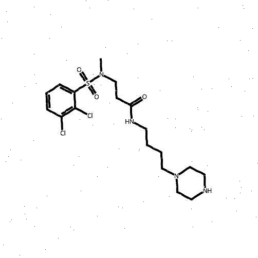 CN(CCC(=O)NCCCCN1CCNCC1)S(=O)(=O)c1cccc(Cl)c1Cl